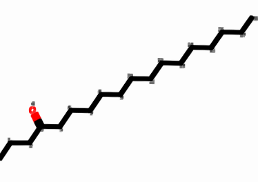 [CH2]CCC(=O)CCCCCCCCCCCCCC